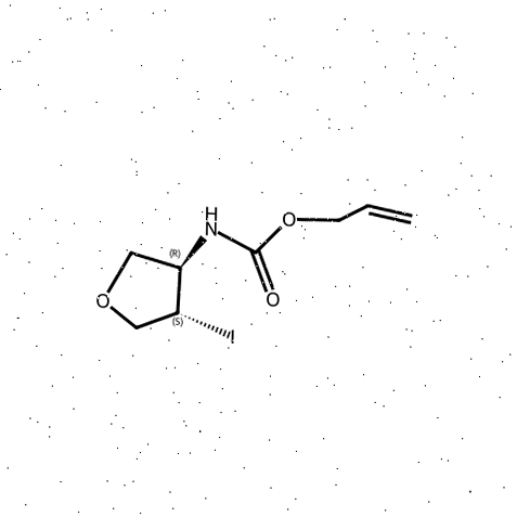 C=CCOC(=O)N[C@@H]1COC[C@H]1I